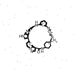 C[N+]12CCC(CC1)NC(=O)c1cnn3ccc(cc13)-c1c[nH]c3nc(ncc13)Nc1cccc(c1)N1CCN2CC1